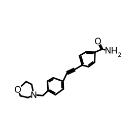 NC(=O)c1ccc(C#Cc2ccc(CN3CCOCC3)cc2)cc1